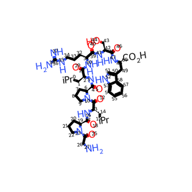 CC(C)C[C@H](NC(=O)[C@@H]1CCCN1C(=O)[C@H](CC(C)C)NC(=O)[C@@H]1CCCN1C(=O)CN)C(=O)N[C@@H](CCCNC(=N)N)C(=O)N[C@@H](CO)C(=O)N[C@@H](Cc1c[nH]c2ccccc12)C(=O)O